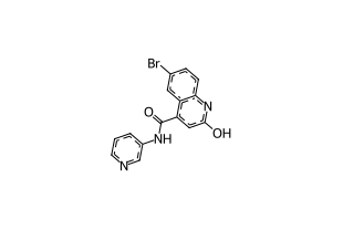 O=C(Nc1cccnc1)c1cc(O)nc2ccc(Br)cc12